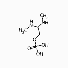 CNC(COP(=O)(O)O)NC